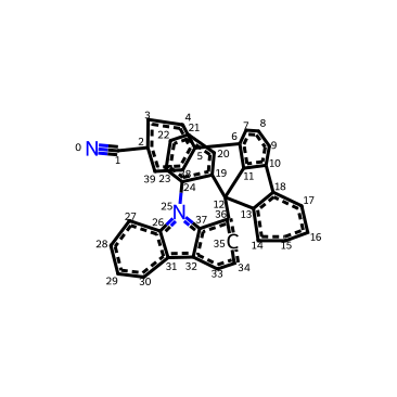 N#Cc1ccc(-c2cccc3c2C2(c4ccccc4-3)c3ccccc3-n3c4ccccc4c4cccc2c43)cc1